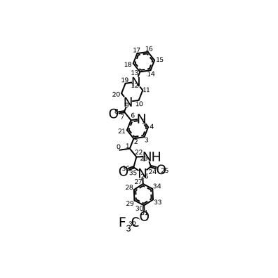 CC(c1ccnc(C(=O)N2CCN(c3ccccc3)CC2)c1)C1NC(=O)N(c2ccc(OC(F)(F)F)cc2)C1=O